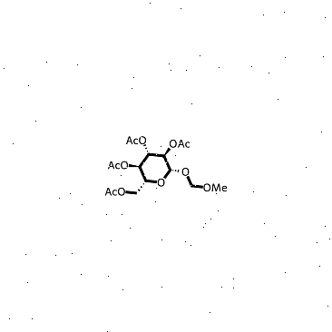 COCO[C@@H]1O[C@H](COC(C)=O)[C@@H](OC(C)=O)[C@H](OC(C)=O)[C@H]1OC(C)=O